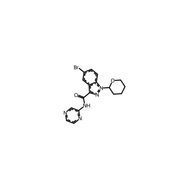 O=C(Nc1cnccn1)c1nn(C2CCCCO2)c2ccc(Br)cc12